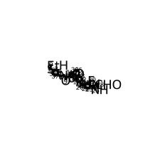 CCSc1ccc(CNC(=O)c2cc3c(s2)C2(CCN(C(C)c4ccc(C(=N)NC=O)c(F)c4)CC2)OCC3)cc1